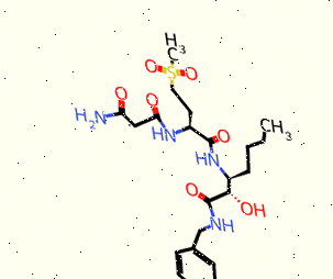 CCCC[C@H](NC(=O)[C@H](CCS(C)(=O)=O)NC(=O)[CH]C(N)=O)[C@H](O)C(=O)NCc1ccccc1